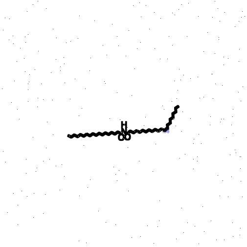 CCCCCCCC/C=C\CCCCCCCCCCCC(=O)NC(=O)CCCCCCCCCCCCCCCCC